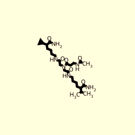 CC(=O)NCCC(=O)N(CC(=O)NCCCCC(C(N)=O)C(C)C)CC(=O)NCCCCC(C(N)=O)C1CC1